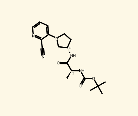 C[C@H](NC(=O)OC(C)(C)C)C(=O)N[C@H]1CCN(c2cccnc2C#N)C1